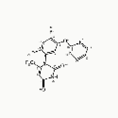 O=c1cc(C(F)(F)F)n(-c2cc(Oc3ncccn3)c(Br)cc2F)c(=O)[nH]1